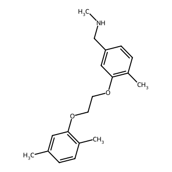 CNCc1ccc(C)c(OCCOc2cc(C)ccc2C)c1